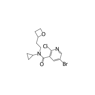 O=C(c1cc(Br)cnc1Cl)N(CCC1CCO1)C1CC1